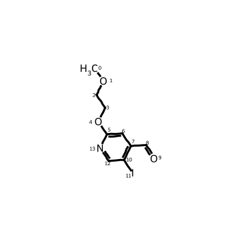 COCCOc1cc(C=O)c(I)cn1